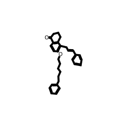 O=C1CCCc2c1ccc(OCCCCCCc1ccccc1)c2CC=Cc1ccccc1